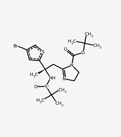 CC(C)(C)OC(=O)N1CCN=C1C[C@](C)(N[S+]([O-])C(C)(C)C)c1cc(Br)cs1